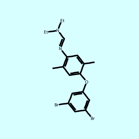 CCN(/C=N/c1cc(C)c(Oc2cc(Br)cc(Br)c2)cc1C)CC